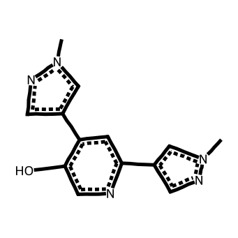 Cn1cc(-c2cc(-c3cnn(C)c3)c(O)cn2)cn1